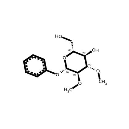 CO[C@H]1[C@H](Oc2ccccc2)O[C@H](CO)[C@@H](O)[C@@H]1OC